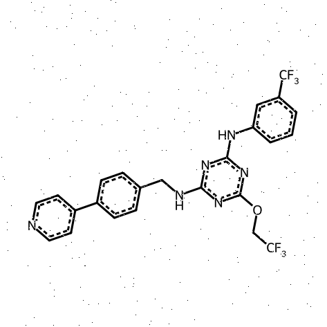 FC(F)(F)COc1nc(NCc2ccc(-c3ccncc3)cc2)nc(Nc2cccc(C(F)(F)F)c2)n1